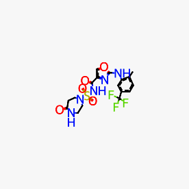 Cc1ccc(C(F)(F)F)cc1Nc1nc(C(=O)NS(=O)(=O)N2CCNC(=O)CC2)co1